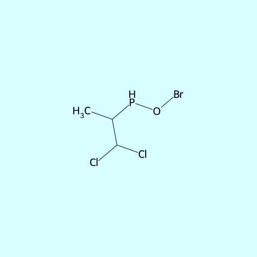 CC(POBr)C(Cl)Cl